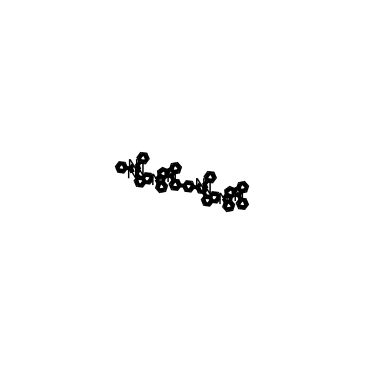 c1ccc(-c2nc(-c3ccc(-c4cccc(-n5c6ccccc6c6ccc7c(c8ccccc8n7-c7ccc8c(-c9nc(-c%10ccccc%10)nc(-c%10ccccc%10)n9)cccc8c7)c65)c4)cc3)cc(-c3cccc4cc(-n5c6ccccc6c6c5ccc5c7ccccc7n(-c7ccccc7)c56)ccc34)n2)cc1